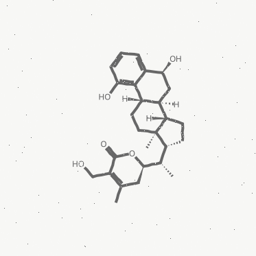 CC1=C(CO)C(=O)O[C@@H]([C@@H](C)[C@H]2CC[C@H]3[C@@H]4C[C@H](O)c5cccc(O)c5[C@H]4CC[C@]23C)C1